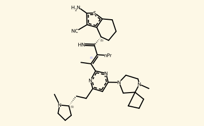 CCC/C(C(=N)[C@H]1CCCc2sc(N)c(C#N)c21)=C(/C)c1nc(CC[C@@H]2CCCN2C)cc(N2CCN(C)C3(CCC3)C2)n1